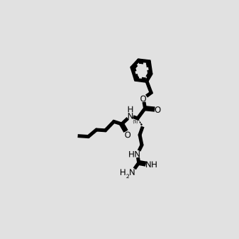 CCCCCC(=O)N[C@@H](CCCNC(=N)N)C(=O)OCc1ccccc1